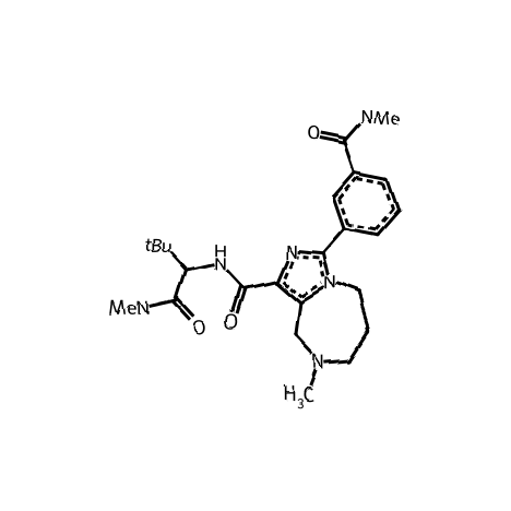 CNC(=O)c1cccc(-c2nc(C(=O)NC(C(=O)NC)C(C)(C)C)c3n2CCCN(C)C3)c1